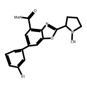 CCc1cccc(-c2cc(C(=O)NC)c3nc(C4CCCN4C#N)oc3c2)c1